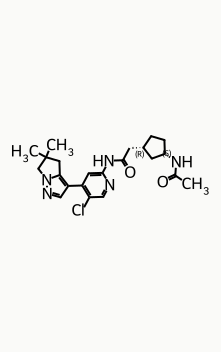 CC(=O)N[C@H]1CC[C@@H](CC(=O)Nc2cc(-c3cnn4c3CC(C)(C)C4)c(Cl)cn2)C1